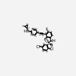 O=S(=O)(Nc1ccc(F)c(C#Cc2cnc(NC3CC3)nc2)c1F)c1cc(Cl)ccc1Cl